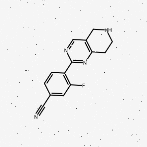 N#Cc1ccc(-c2ncc3c(n2)CCNC3)c(F)c1